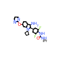 CC(C)NC(=O)Nc1c(F)cc(-c2c(N)c3ccc(Oc4ncccn4)cc3n2C2CCC2)cc1F